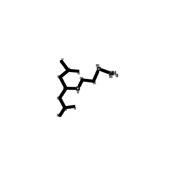 CC(C)CC(CC(C)C)OCCO[SiH3]